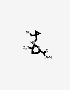 COC(=O)c1ccc([N+](=O)[O-])c(NCC2(CC#N)CC2)n1